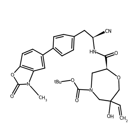 C=CC1(O)CO[C@H](C(=O)N[C@H](C#N)Cc2ccc(-c3ccc4oc(=O)n(C)c4c3)cc2)CN(C(=O)OC(C)(C)C)C1